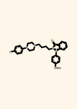 COc1ccc(-n2c3ccccc3c(=O)n2CCCCN2CCN(c3ccc(F)cc3)CC2)cc1